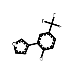 FC(F)(F)c1ccc(Cl)c(-c2[c]coc2)c1